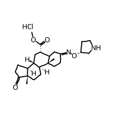 COC(=O)[C@H]1C[C@@H]2[C@H](CC[C@]3(C)C(=O)CC[C@@H]23)[C@@]2(C)CC/C(=N\O[C@@H]3CCNC3)CC12.Cl